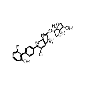 Oc1cccc(F)c1-c1ccc(-c2nc3nc(O[C@@H]4CO[C@H]5[C@@H]4OC[C@H]5O)[nH]c3cc2Cl)cc1